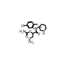 COCC(OC(N)=O)C(=O)N[C@@]1(Cc2ccc(Cl)cc2)CCCNC1